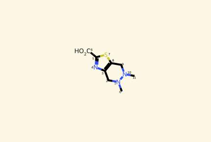 CN1Cc2nc(C(=O)O)sc2CN1C